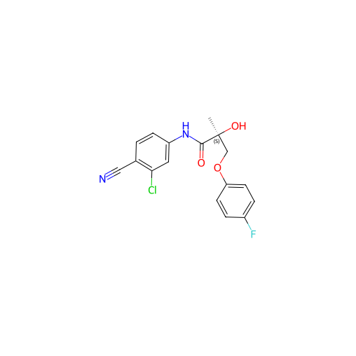 C[C@](O)(COc1ccc(F)cc1)C(=O)Nc1ccc(C#N)c(Cl)c1